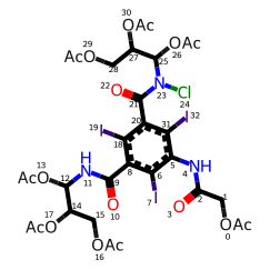 CC(=O)OCC(=O)Nc1c(I)c(C(=O)NC(OC(C)=O)C(COC(C)=O)OC(C)=O)c(I)c(C(=O)N(Cl)C(OC(C)=O)C(COC(C)=O)OC(C)=O)c1I